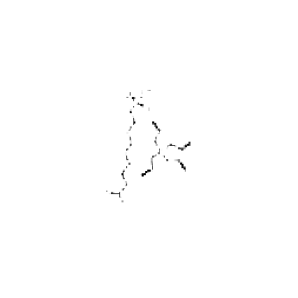 C=CC[N+](CC=C)(CC=C)CC=C.O=S(=O)([O-])CCCCCCCCC(F)F